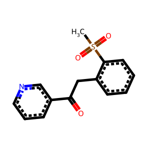 CS(=O)(=O)c1ccccc1CC(=O)c1cccnc1